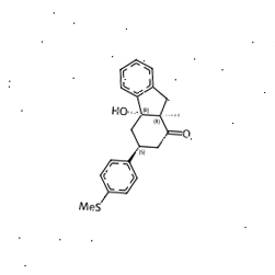 CSc1ccc([C@@H]2CC(=O)[C@]3(C)Cc4ccccc4[C@]3(O)C2)cc1